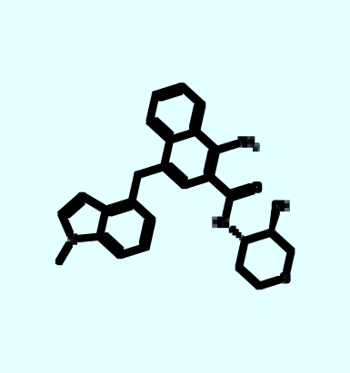 Cn1ccc2c(Cc3cc(C(=O)N[C@H]4CCOC[C@@H]4O)c(N)c4ccccc34)cccc21